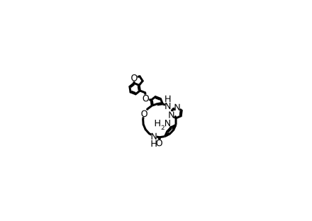 Nc1cc2ccc1-c1ccnc(n1)Nc1ccc(OCc3cccc4c3CCO4)c(c1)COCCCCNC2=O